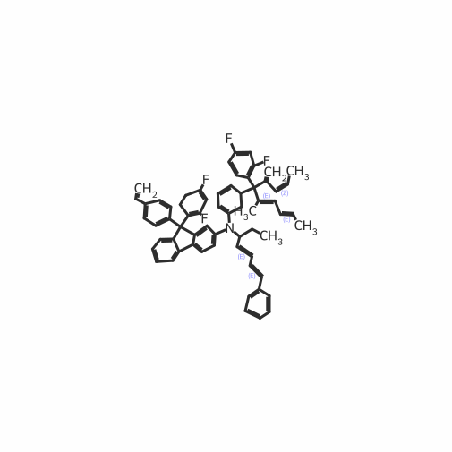 C=Cc1ccc(C2(C3=C(F)C=C(F)CC3)c3ccccc3-c3ccc(N(C4=CC=CC(C(C(=C)/C=C\C)(/C(C)=C/C=C/C)c5ccc(F)cc5F)C4)C(/C=C/C=C/c4ccccc4)CC)cc32)cc1